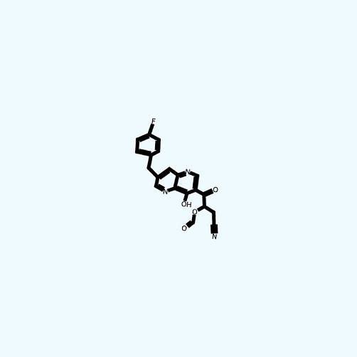 N#CCC(OC=O)C(=O)c1cnc2cc(Cc3ccc(F)cc3)cnc2c1O